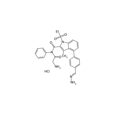 CCS(=O)(=O)n1c(C(=O)N(C(=O)CN)c2ccccc2)c(C)c2c(-c3ccc(C=NN)cc3)cccc21.Cl